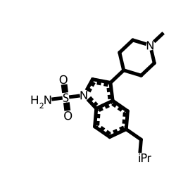 CC(C)Cc1ccc2c(c1)c(C1CCN(C)CC1)cn2S(N)(=O)=O